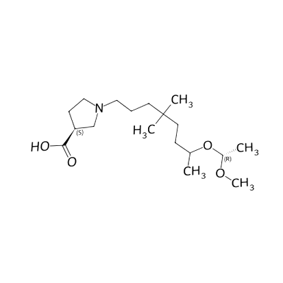 CO[C@@H](C)OC(C)CCC(C)(C)CCCN1CC[C@H](C(=O)O)C1